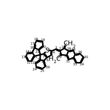 C=C1C(=Cc2cc3c(s2)C2(c4ccccc4-c4ccccc42)c2ccccc2-3)C(=C)c2cc3ccccc3cc21